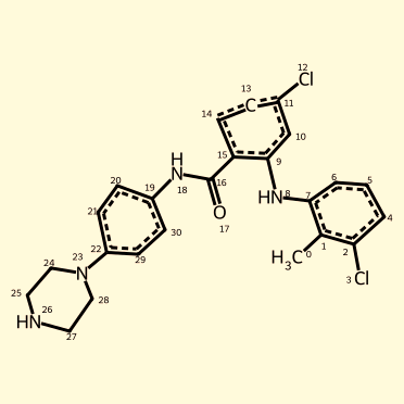 Cc1c(Cl)cccc1Nc1cc(Cl)ccc1C(=O)Nc1ccc(N2CCNCC2)cc1